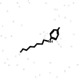 CCCCCCCCNc1ccc(C)cc1